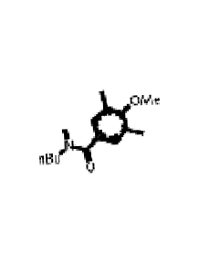 CCCCN(C)C(=O)c1cc(C)c(OC)c(C)c1